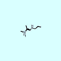 CCCN/C=C(\C)[SiH](C)I